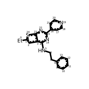 CCc1cc2c(NCCc3ccccc3)nc(-c3ccncc3)nc2s1